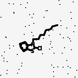 CCCCCCCCN1c2ccccc2SC1Cl